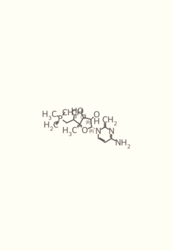 C=C1N=C(N)C=CN1[C@@H]1O[C@](C)(C(C)CP(=C)(C)C)[C@@H](O)[C@H]1O